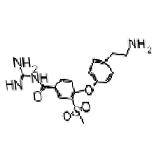 CS(=O)(=O)c1cc(C(=O)NC(=N)N)ccc1Oc1ccc(CCN)cc1